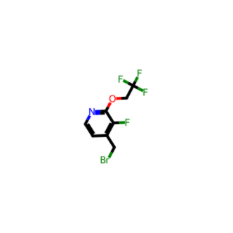 Fc1c(CBr)ccnc1OCC(F)(F)F